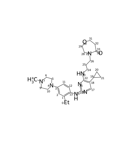 CCc1cc(N2CCN(C)CC2)ccc1Nc1ncc(C2CC2)c(NCCCN2CCOCCC2=O)n1